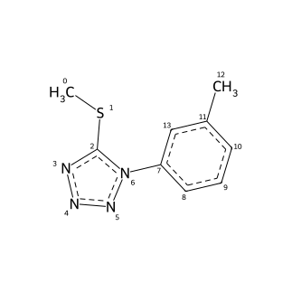 CSc1nnnn1-c1cccc(C)c1